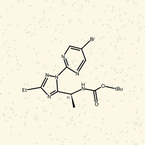 CCc1nc([C@H](C)NC(=O)OC(C)(C)C)n(-c2ncc(Br)cn2)n1